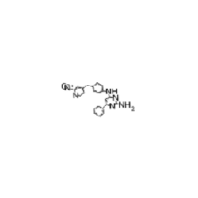 [C-]#[N+]c1cc(Cc2ccc(Nc3cc(-c4ccccc4)nc(N)n3)cc2)ccn1